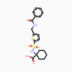 O=C(NCc1ccc(S(=O)(=O)NC2(C(=O)O)CCCCC2)s1)c1ccccc1